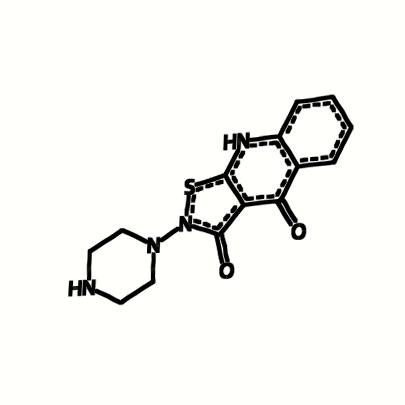 O=c1c2ccccc2[nH]c2sn(N3CCNCC3)c(=O)c12